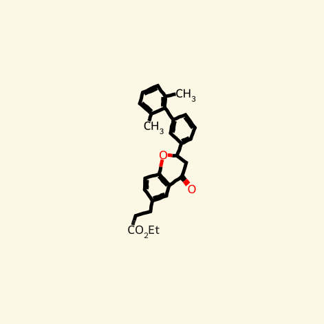 CCOC(=O)CCc1ccc2c(c1)C(=O)CC(c1cccc(-c3c(C)cccc3C)c1)O2